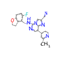 Cc1cc(-c2cnc(NCc3c(F)ccc4c3CCO4)n3cc(C#N)nc23)ccn1